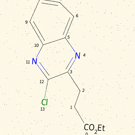 CCOC(=O)CCc1nc2ccccc2nc1Cl